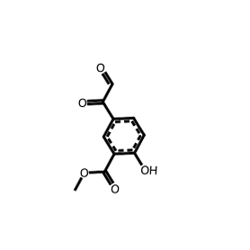 COC(=O)c1cc(C(=O)C=O)ccc1O